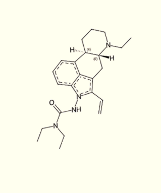 C=Cc1c2c3c(cccc3n1NC(=O)N(CC)CC)[C@H]1CCCN(CC)[C@@H]1C2